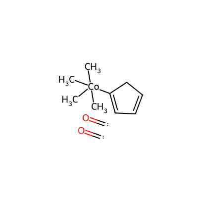 [CH3][Co]([CH3])([CH3])([CH3])[C]1=CC=CC1.[C]=O.[C]=O